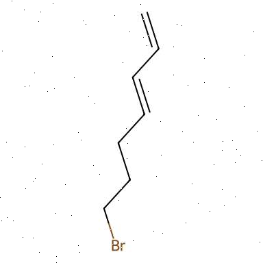 C=CC=CCCCBr